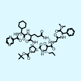 CCC[C@H](NC(=O)[C@@H]1CN(C(=O)OC(C)(C)C)C[C@@H]1NC(=O)C(CCC(N)=O)NC(=O)[C@@H](NC(=O)c1cnccn1)C1CCCCC1)C(=O)C(=O)NCC(=O)N[C@H](C(=O)N(C)C)c1ccccc1